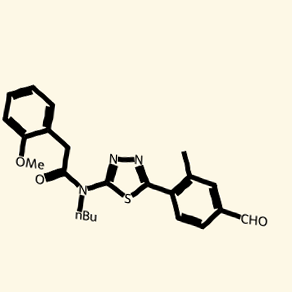 CCCCN(C(=O)Cc1ccccc1OC)c1nnc(-c2ccc(C=O)cc2C)s1